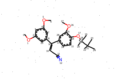 COc1cc(OC)cc(C(=CC#N)c2ccc(O[Si](C)(C)C(C)(C)C)c(OC)c2)c1